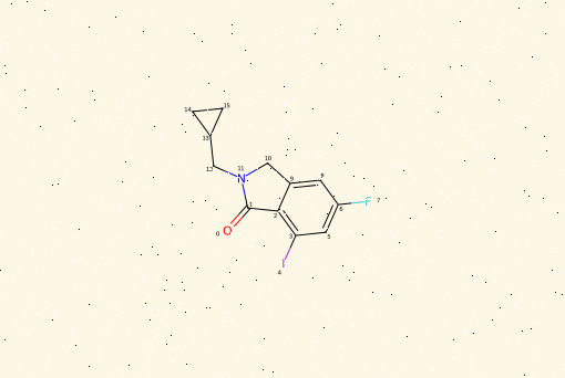 O=C1c2c(I)cc(F)cc2CN1CC1CC1